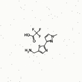 Cn1ccc(-c2ncc(CN)s2)n1.O=C(O)C(F)(F)F